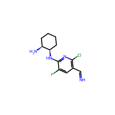 N=Cc1cc(F)c(N[C@@H]2CCCC[C@@H]2N)nc1Cl